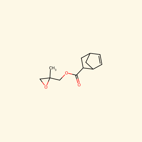 CC1(COC(=O)C2CC3C=CC2C3)CO1